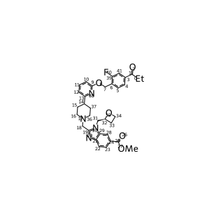 CCC(=O)c1ccc(COc2cccc(C3CCN(Cc4nc5ccc(C(=O)OC)cc5n4C[C@@H]4CCO4)CC3)n2)c(F)c1